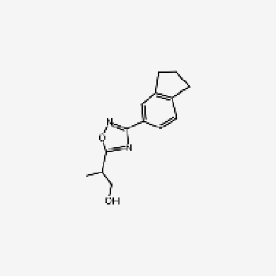 CC(CO)c1nc(-c2ccc3c(c2)CCC3)no1